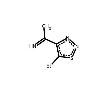 CCc1snnc1C(C)=N